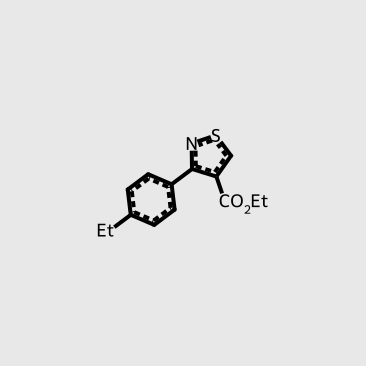 CCOC(=O)c1csnc1-c1ccc(CC)cc1